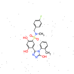 Cc1ccccc1-n1c(O)nnc1-c1cc(S(=O)(=O)N(C)Cc2ccc(F)cc2)c(O)cc1O